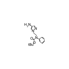 CC(C)(C)OC(=O)N(CCn1cc(N)cn1)c1ccccc1